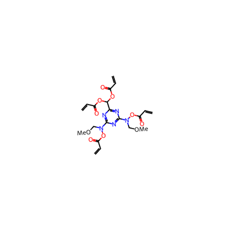 C=CC(=O)OC(OC(=O)C=C)c1nc(N(COC)OC(=O)C=C)nc(N(COC)OC(=O)C=C)n1